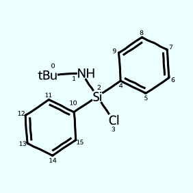 CC(C)(C)N[Si](Cl)(c1ccccc1)c1ccccc1